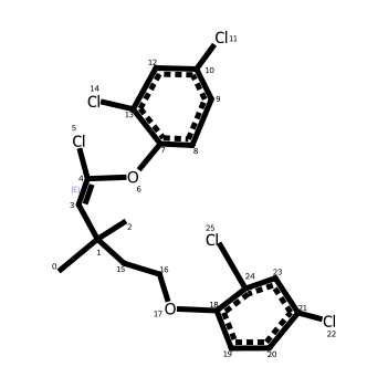 CC(C)(/C=C(/Cl)Oc1ccc(Cl)cc1Cl)CCOc1ccc(Cl)cc1Cl